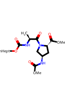 CCCCCCCOC(=O)N[C@@H](C)C(=O)N1C[C@H](NC(=O)OC)C[C@H]1C(=O)OC